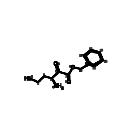 N[C@@H](CCS)C(=O)C(=O)OCc1ccccc1